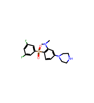 CN(C)c1cc(N2CCNCC2)ccc1S(=O)(=O)c1cc(F)cc(F)c1